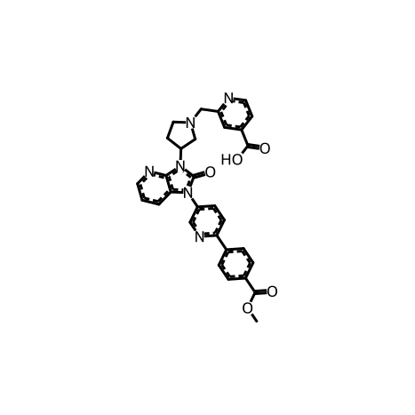 COC(=O)c1ccc(-c2ccc(-n3c(=O)n(C4CCN(Cc5cc(C(=O)O)ccn5)C4)c4ncccc43)cn2)cc1